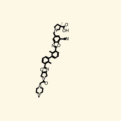 Cc1c(-c2nc3c(o2)CN(C(=O)CN2CCN(C)CC2)C3)cccc1-c1cccc(-c2nc3cc(CN4CC[C@@](C)(C(=O)O)C4)cc(C#N)c3o2)c1C